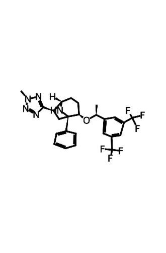 C[C@H](O[C@@H]1CC[C@@H]2N[C@@]1(c1ccccc1)C[C@H]2c1nnn(C)n1)c1cc(C(F)(F)F)cc(C(F)(F)F)c1